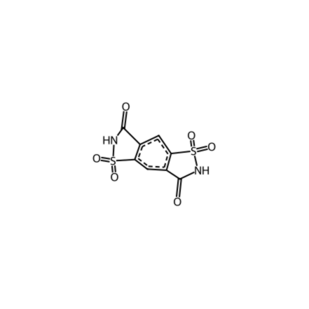 O=C1NS(=O)(=O)c2cc3c(cc21)S(=O)(=O)NC3=O